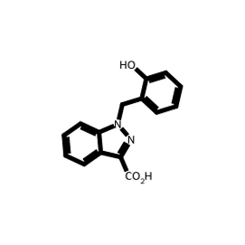 O=C(O)c1nn(Cc2ccccc2O)c2ccccc12